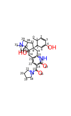 CC1C=CC(O)=CC1[C@@]12Cc3[nH]c(=O)c(C(=O)N4CCCC4)cc3C[C@@]1(O)[C@H]1C(CN1C)C2